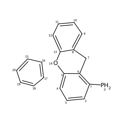 Pc1cccc2c1Cc1ccccc1O2.c1ccccc1